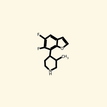 CC1CNCCC1c1c(F)c(F)cc2ccoc12